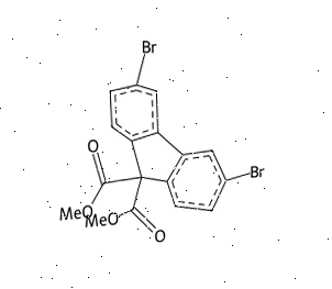 COC(=O)C1(C(=O)OC)c2ccc(Br)cc2-c2cc(Br)ccc21